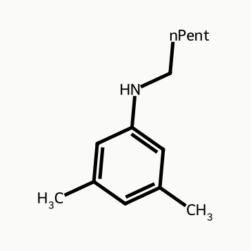 CCCCCCNc1cc(C)cc(C)c1